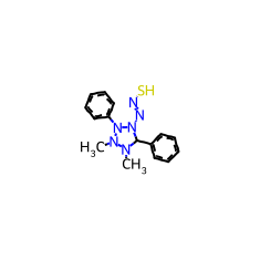 CN1C(c2ccccc2)N(N=NS)N(c2ccccc2)N1C